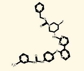 O=C(Nc1ccc(Oc2ncccc2-c2ccnc(N[C@H]3C[C@H](F)CN(C(=O)OCc4ccccc4)C3)n2)cc1)Nc1cccc(C(F)(F)F)c1